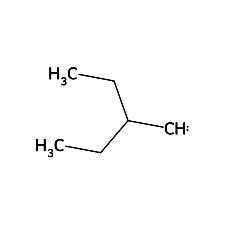 [CH]C(CC)CC